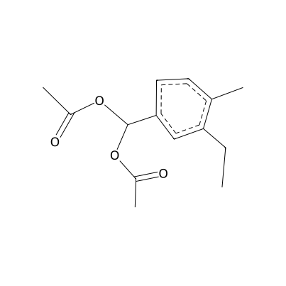 CCc1cc(C(OC(C)=O)OC(C)=O)ccc1C